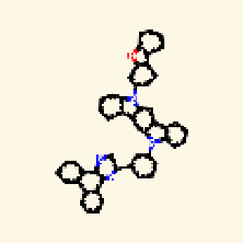 c1cc(-c2cnc3c4ccccc4c4ccccc4c3n2)cc(-n2c3ccccc3c3cc4c(cc32)c2ccccc2n4-c2ccc3c(c2)oc2ccccc23)c1